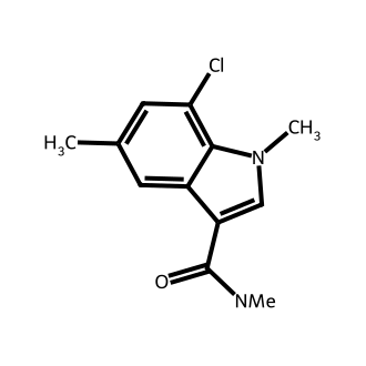 CNC(=O)c1cn(C)c2c(Cl)cc(C)cc12